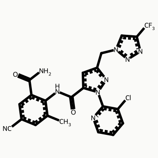 Cc1cc(C#N)cc(C(N)=O)c1NC(=O)c1cc(Cn2cc(C(F)(F)F)nn2)nn1-c1ncccc1Cl